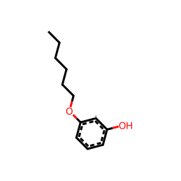 CCCCCCOc1[c]c(O)ccc1